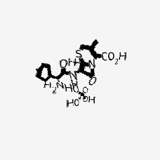 CC1=C(C(=O)O)N2C(=O)[C@@H](NC(=O)[C@H](N)C3=CCC=CC3)[C@H]2SC1.O=P(O)(O)O